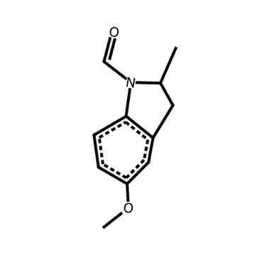 COc1ccc2c(c1)CC(C)N2C=O